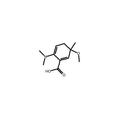 COC1(C)C=C(C(=O)O)C(N(C)C)=CC1